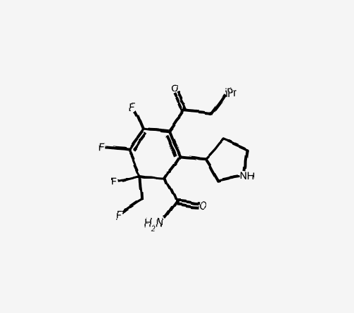 CC(C)CC(=O)C1=C(C2CCNC2)C(C(N)=O)C(F)(CF)C(F)=C1F